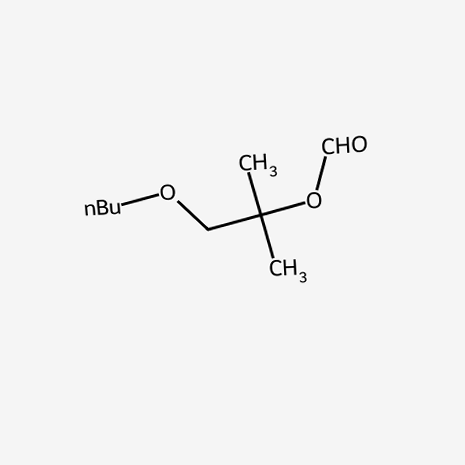 CCCCOCC(C)(C)OC=O